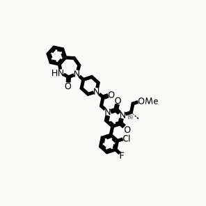 COC[C@H](C)n1c(=O)c(-c2cccc(F)c2Cl)cn(CC(=O)N2CCC(N3CCc4ccccc4NC3=O)CC2)c1=O